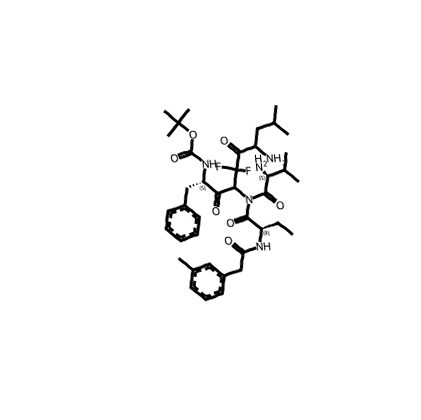 CC[C@@H](NC(=O)Cc1cccc(C)c1)C(=O)N(C(=O)[C@@H](N)C(C)C)C(C(=O)[C@H](Cc1ccccc1)NC(=O)OC(C)(C)C)C(F)(F)C(=O)C(N)CC(C)C